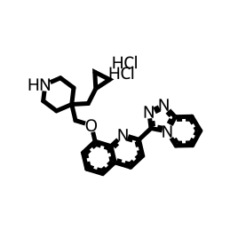 Cl.Cl.c1cc(OCC2(CC3CC3)CCNCC2)c2nc(-c3nnc4ccccn34)ccc2c1